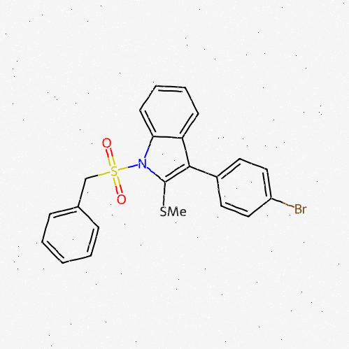 CSc1c(-c2ccc(Br)cc2)c2ccccc2n1S(=O)(=O)Cc1ccccc1